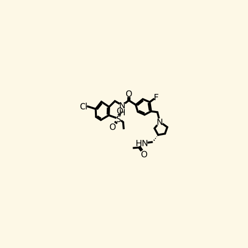 CCS(=O)(=O)c1ccc(Cl)cc1CNC(=O)c1ccc(CN2CC[C@H](CNC(C)=O)C2)c(F)c1